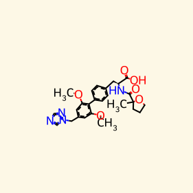 COc1cc(Cn2cncn2)cc(OC)c1-c1ccc(C[C@H](NC(=O)C2(C)CCCO2)C(=O)O)cc1